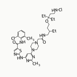 CCC(CCOC(CC)(CC)CCNCl)CNC(=O)CN1CCN(c2cc(Nc3ncc(C(=O)Nc4c(C)cccc4Cl)s3)nc(C)n2)CC1